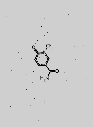 NC(=O)c1ccc(=O)n(C(F)(F)F)c1